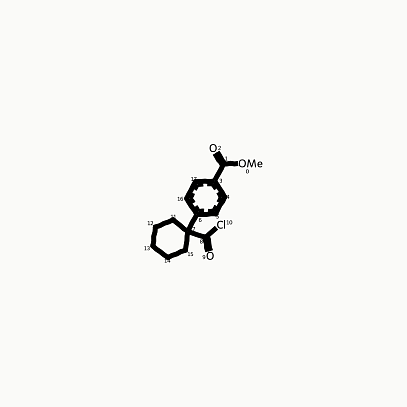 COC(=O)c1ccc(C2(C(=O)Cl)CCCCC2)cc1